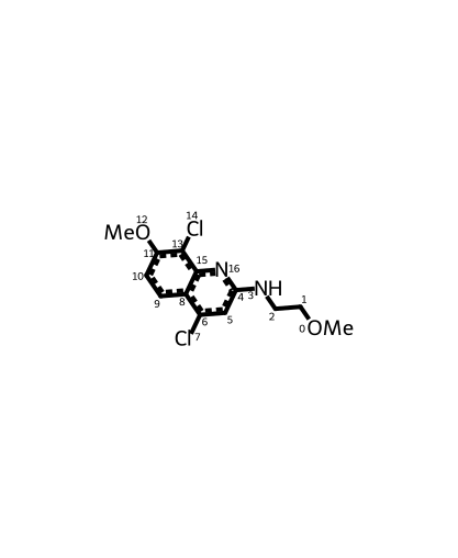 COCCNc1cc(Cl)c2ccc(OC)c(Cl)c2n1